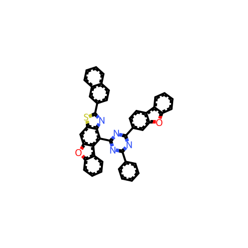 c1ccc(-c2nc(-c3ccc4c(c3)oc3ccccc34)nc(-c3c4nc(-c5ccc6ccccc6c5)sc4cc4oc5ccccc5c34)n2)cc1